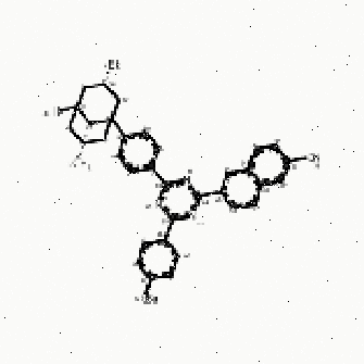 CC[C@H]1C[C@H]2C[C@@H](C)CC(c3ccc(-c4nc(-c5ccc(C(C)(C)C)cc5)nc(-c5ccc6cc(C#N)ccc6c5)n4)cc3)(C2)C1